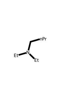 [CH2]CN(C[CH2])CCCC